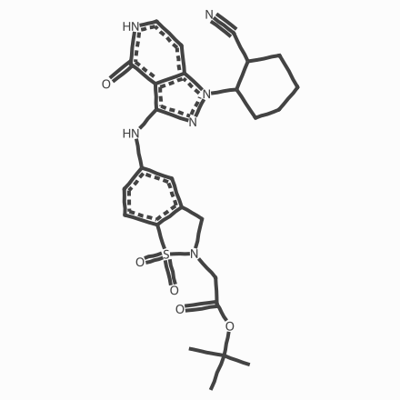 CC(C)(C)OC(=O)CN1Cc2cc(Nc3nn(C4CCCCC4C#N)c4cc[nH]c(=O)c34)ccc2S1(=O)=O